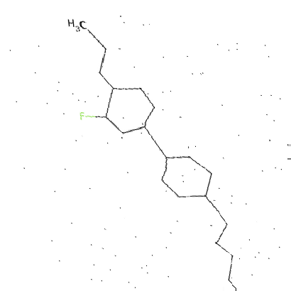 CCCCCC1CCC(C2CCC(CCC)C(F)C2)CC1